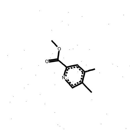 COC(=O)c1cc(C)c(C)cn1